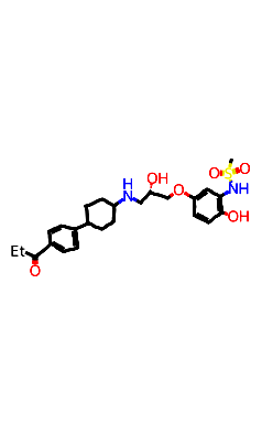 CCC(=O)c1ccc(C2CCC(NC[C@H](O)COc3ccc(O)c(NS(C)(=O)=O)c3)CC2)cc1